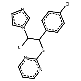 Clc1ccc(C(Sc2ncccn2)C(Cl)n2ccnc2)cc1